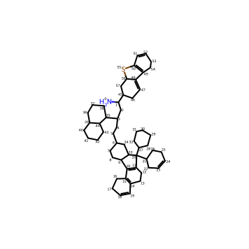 NC(CC(CCC1CCC2C3=C(CCC4=C3CCC=C4)C(C3CC=CCC3)(C3CCCCC3)C2C1)C1CCCC2CCCCC21)C1CC=C2C3=C(C=CCC3)SC2C1